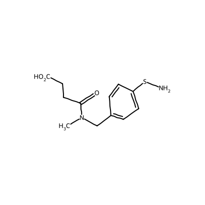 CN(Cc1ccc(SN)cc1)C(=O)CCC(=O)O